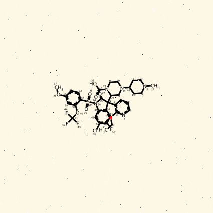 CCOc1ncccc1C1(C2CN(C3CCN(C)CC3)CCN2C(=O)O)C(=O)N(S(=O)(=O)c2ccc(OC)cc2OC(F)(F)F)c2cc(Cl)c(F)cc21